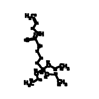 C=CCNC(=S)SCCC[Si](OCC)(OCC)OCC